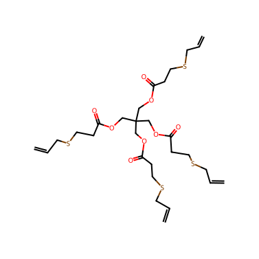 C=CCSCCC(=O)OCC(COC(=O)CCSCC=C)(COC(=O)CCSCC=C)COC(=O)CCSCC=C